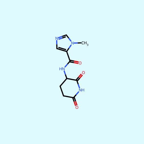 Cn1cncc1C(=O)NC1CCC(=O)NC1=O